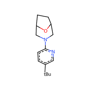 CC(C)(C)c1ccc(N2CC3CCC(C2)O3)nc1